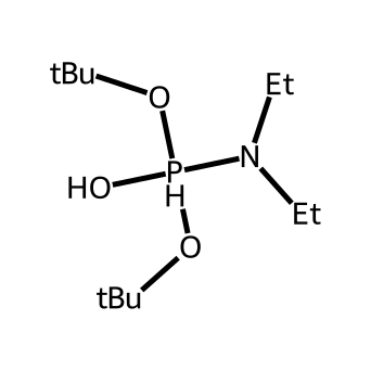 CCN(CC)[PH](O)(OC(C)(C)C)OC(C)(C)C